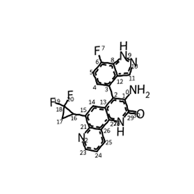 Nc1c(-c2ccc(F)c3[nH]ncc23)c2cc(C3CC3(F)F)c3ncccc3c2[nH]c1=O